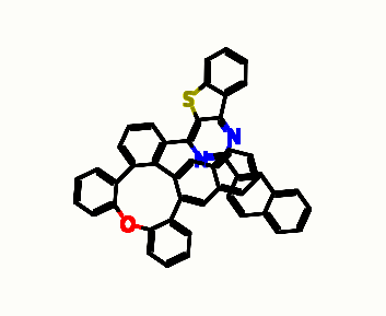 c1ccc2cc(-c3nc(-c4cccc5c6ccccc6oc6ccccc6c6cc7ccccc7cc6c45)c4sc5ccccc5c4n3)ccc2c1